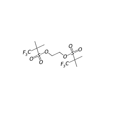 CC(C)(C(F)(F)F)S(=O)(=O)OCCOS(=O)(=O)C(C)(C)C(F)(F)F